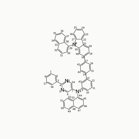 c1ccc(-c2ncc(N(c3cccc(-c4ccc(-c5ccc6c7ccccc7n(-c7cccc8ccccc78)c6c5)cc4)c3)c3cccc4ccccc34)cn2)cc1